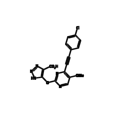 COc1cnc(Oc2[nH]nnc2C(=O)O)nc1C#Cc1ccc(Cl)cc1